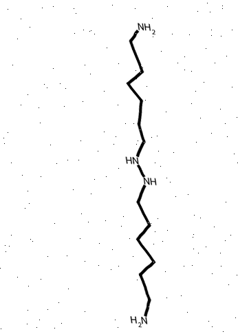 NCCCCCCNNCCCCCCN